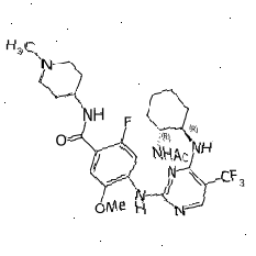 COc1cc(C(=O)NC2CCN(C)CC2)c(F)cc1Nc1ncc(C(F)(F)F)c(N[C@@H]2CCCC[C@H]2NC(C)=O)n1